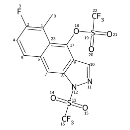 Cc1c(F)ccc2cc3c(cnn3S(=O)(=O)C(F)(F)F)c(OS(=O)(=O)C(F)(F)F)c12